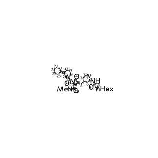 CCCCCCOC(=O)Nc1cc(C[C@H]2C(=O)N(C(=O)N3CCC[C@@H](C4C=CC=CC4)C3)[C@@H]2C(=O)NC)ccn1